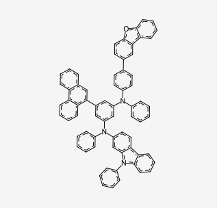 c1ccc(N(c2ccc(-c3ccc4oc5ccccc5c4c3)cc2)c2cc(-c3cc4ccccc4c4ccccc34)cc(N(c3ccccc3)c3ccc4c5ccccc5n(-c5ccccc5)c4c3)c2)cc1